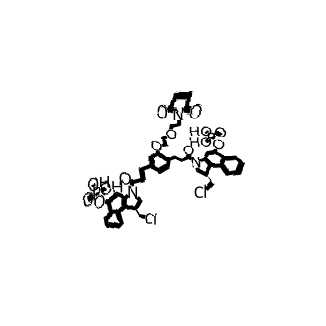 O=C1C=CC(=O)N1CCOCCOc1cc(/C=C/C(=O)N2C[C@@H](CCl)c3c2cc(OP(=O)(O)O)c2ccccc32)ccc1CCC(=O)N1C[C@@H](CCl)c2c1cc(OP(=O)(O)O)c1ccccc21